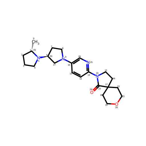 C[C@H]1CCCN1[C@H]1CCN(c2ccc(N3CCC4(CCOCC4)C3=O)nc2)C1